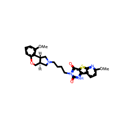 COc1ccc2c(n1)sc1c(=O)n(CCCCN3C[C@H]4COc5cccc(OC)c5[C@@H]4C3)c(=O)[nH]c12